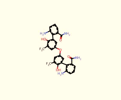 NC(=O)c1cccc(N)c1-c1cc(Oc2cc(-c3c(N)cccc3C(N)=O)c(O)c(C(F)(F)F)c2)cc(C(F)(F)F)c1O